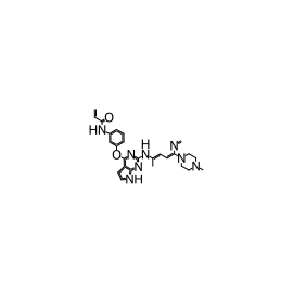 C=CC(=O)Nc1cccc(Oc2nc(N/C(C)=C/C=C(\N=C)N3CCN(C)CC3)nc3[nH]ccc23)c1